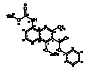 CCCCOc1c(C(=O)Oc2ccccc2)c(C)cc2c(NC(=O)OC(C)(C)C)cccc12